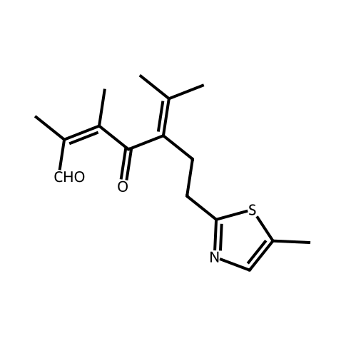 CC(C)=C(CCc1ncc(C)s1)C(=O)/C(C)=C(/C)C=O